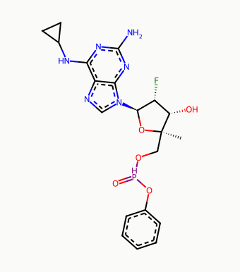 C[C@]1(CO[PH](=O)Oc2ccccc2)O[C@@H](n2cnc3c(NC4CC4)nc(N)nc32)[C@H](F)[C@@H]1O